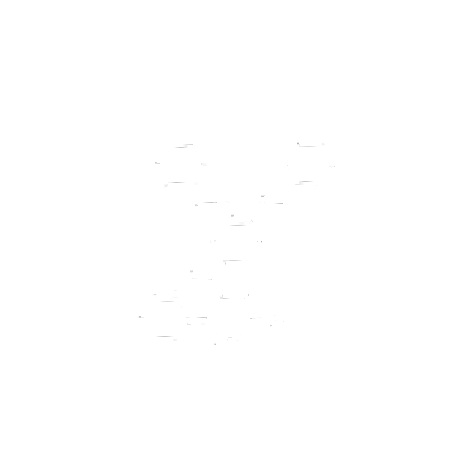 CC(O)Oc1c(-c2ccc(OCc3ccccc3)c(OCc3ccccc3)c2)oc2ccccc2c1=O